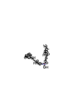 CCN(CC)c1ccc2cc(C(=O)NCCOCCOC(=O)C(/C=C/c3ccc(NC(=O)CCCCCNc4ccc([N+](=O)[O-])c5nonc45)cc3)=C/CO)c(=O)oc2c1